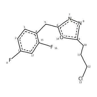 Fc1ccc(Cc2nnc(CCCCl)o2)c(F)c1